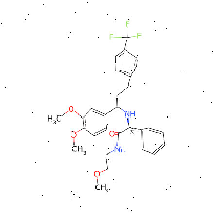 COCCNC(=O)[C@@H](NC(CCc1ccc(C(F)(F)F)cc1)c1ccc(OC)c(OC)c1)c1ccccc1